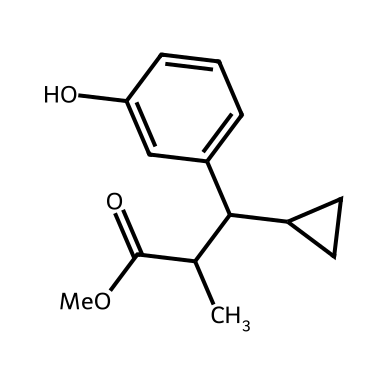 COC(=O)C(C)C(c1cccc(O)c1)C1CC1